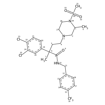 CC1CN(CCC(C)(C(=O)NCc2ccc(C(F)(F)F)cc2)c2ccc(Cl)c(Cl)c2)CCN1S(C)(=O)=O